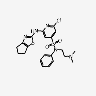 CN(C)CCN(c1ccccc1)S(=O)(=O)c1cc(Cl)nc(Nc2nc3c(s2)CCC3)c1